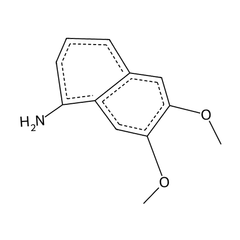 COc1cc2cccc(N)c2cc1OC